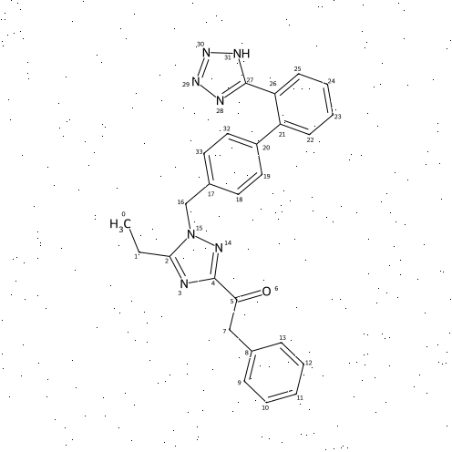 CCc1nc(C(=O)Cc2ccccc2)nn1Cc1ccc(-c2ccccc2-c2nnn[nH]2)cc1